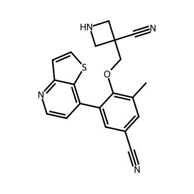 Cc1cc(C#N)cc(-c2ccnc3ccsc23)c1OCC1(C#N)CNC1